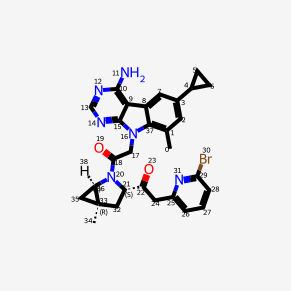 Cc1cc(C2CC2)cc2c3c(N)ncnc3n(CC(=O)N3[C@H](C(=O)Cc4cccc(Br)n4)C[C@@]4(C)C[C@@H]34)c12